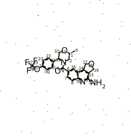 C[C@H]1CN(C(=O)c2ccc3nc(N)c4c(c3c2)COC4)[C@@H](c2ccc(OC(F)(F)F)cc2)CO1